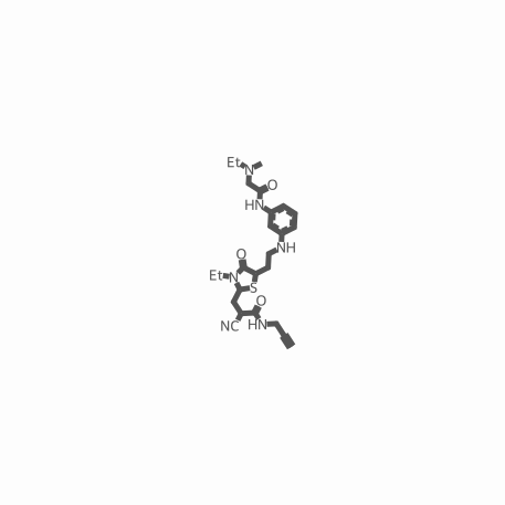 C#CCNC(=O)C(C#N)CC1SC(CCNc2cccc(NC(=O)CN(C)CC)c2)C(=O)N1CC